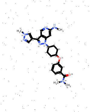 CNc1cc2c(cn1)c(-c1cnn(C)c1)nn2C1CCC(Oc2cccc(C(=O)N(C)C)c2)CC1